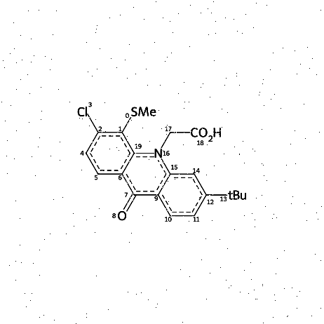 CSc1c(Cl)ccc2c(=O)c3ccc(C(C)(C)C)cc3n(CC(=O)O)c12